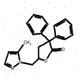 Cc1ccnn1CC1CC(c2ccccc2)(c2ccccc2)C(=O)O1